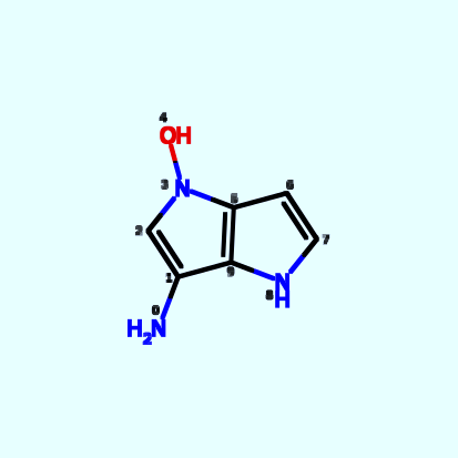 Nc1cn(O)c2cc[nH]c12